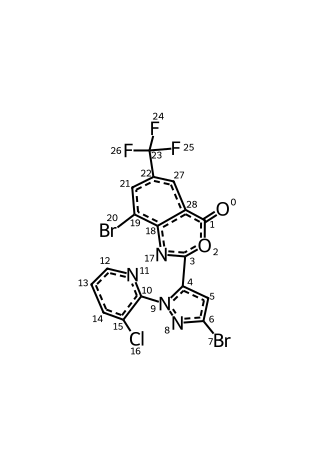 O=c1oc(-c2cc(Br)nn2-c2ncccc2Cl)nc2c(Br)cc(C(F)(F)F)cc12